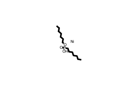 CCCCCCCOP(=O)(O)CCCCCCC.[Ni]